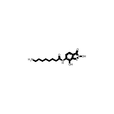 NCCCCCCCC(=O)Nc1ccc2c(=O)n(O)sc2c1O